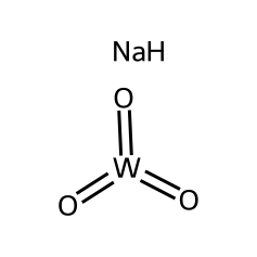 [NaH].[O]=[W](=[O])=[O]